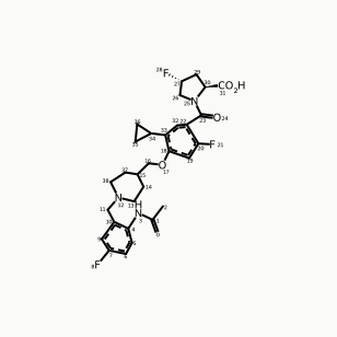 C=C(C)Nc1ccc(F)cc1CN1CCC(COc2cc(F)c(C(=O)N3C[C@H](F)C[C@H]3C(=O)O)cc2C2CC2)CC1